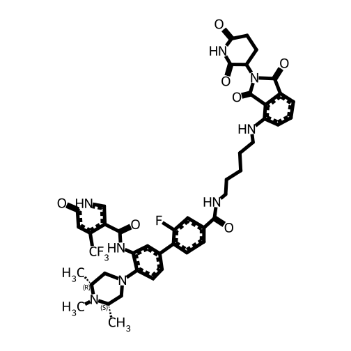 C[C@@H]1CN(c2ccc(-c3ccc(C(=O)NCCCCCNc4cccc5c4C(=O)N(C4CCC(=O)NC4=O)C5=O)cc3F)cc2NC(=O)c2c[nH]c(=O)cc2C(F)(F)F)C[C@H](C)N1C